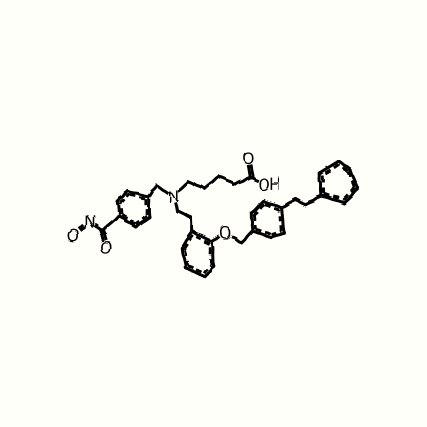 O=NC(=O)c1ccc(CN(CCCCC(=O)O)CCc2ccccc2OCc2ccc(CCc3ccccc3)cc2)cc1